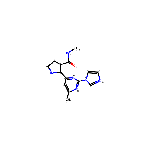 CNC(=O)C1CCNC1c1cc(C)nc(-n2ccnc2)n1